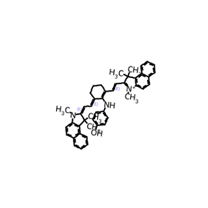 CN1/C(=C/C=C2\CCCC(/C=C/C3=[N+](C)c4ccc5ccccc5c4C3(C)C)=C2Nc2ccc(O)cc2)C(C)(C)c2c1ccc1ccccc21